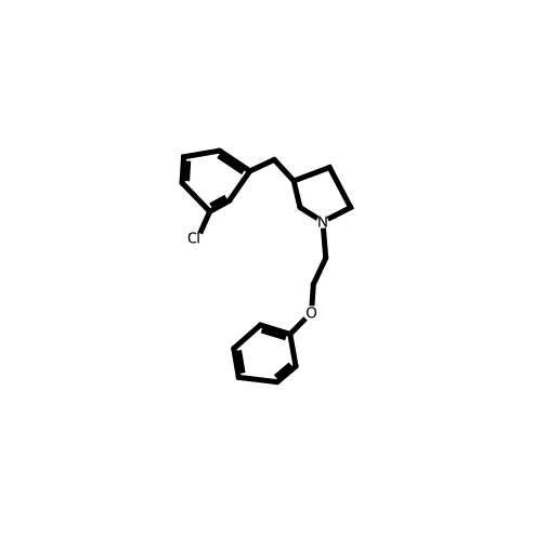 Clc1cccc(CC2CCN(CCOc3ccccc3)C2)c1